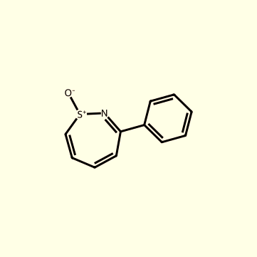 [O-][S+]1C=CC=CC(c2ccccc2)=N1